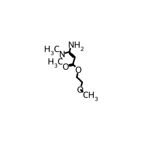 COCCOC(=O)C=C(N)N(C)C